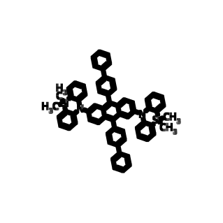 C[Si]1(C)c2ccccc2N(c2ccc3c(-c4ccc(-c5ccccc5)cc4)c4cc(N5c6ccccc6[Si](C)(C)c6ccccc65)ccc4c(-c4ccc(-c5ccccc5)cc4)c3c2)c2ccccc21